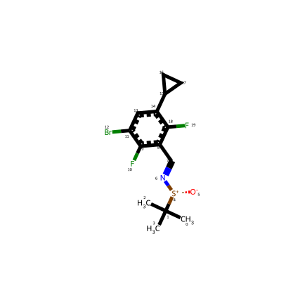 CC(C)(C)[S@@+]([O-])/N=C/c1c(F)c(Br)cc(C2CC2)c1F